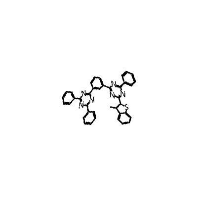 CC1c2ccccc2SC1c1nc(-c2ccccc2)nc(-c2cccc(-c3nc(-c4ccccc4)nc(-c4ccccc4)n3)c2)n1